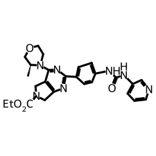 CCOC(=O)N1Cc2nc(-c3ccc(NC(=O)Nc4cccnc4)cc3)nc(N3CCOC[C@@H]3C)c2C1